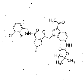 CC(=O)c1cn(CC(=O)N2C[C@H](F)C[C@H]2C(=O)NCc2cccc(Cl)c2F)c2cc(NC(=O)OC(C)(C)C)ccc12